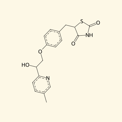 Cc1ccc(C(O)COc2ccc(CC3SC(=O)NC3=O)cc2)nc1